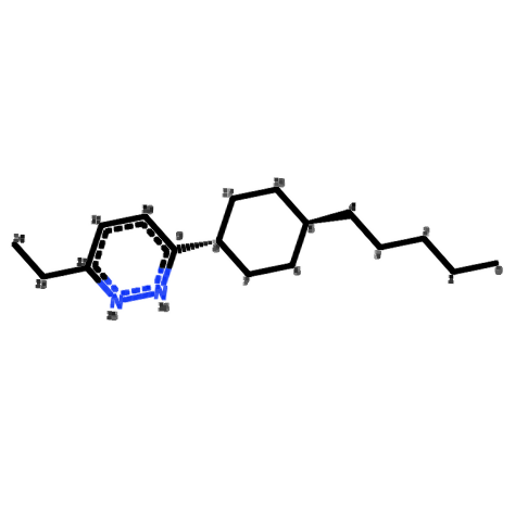 CCCCC[C@H]1CC[C@H](c2ccc(CC)nn2)CC1